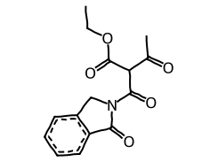 CCOC(=O)C(C(C)=O)C(=O)N1Cc2ccccc2C1=O